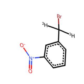 [2H]C([2H])(Br)c1cccc([N+](=O)[O-])c1